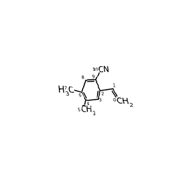 C=Cc1cc(C)c(C)cc1C#N